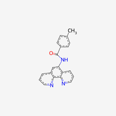 Cc1ccc(C(=O)Nc2cc3cccnc3c3ncccc23)cc1